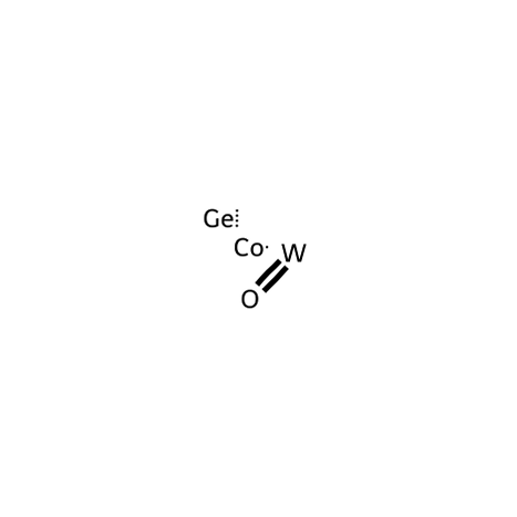 [Co].[Ge].[O]=[W]